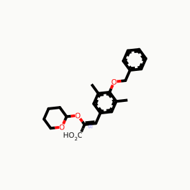 Cc1cc(/C=C(\OC2CCCCO2)C(=O)O)cc(C)c1OCc1ccccc1